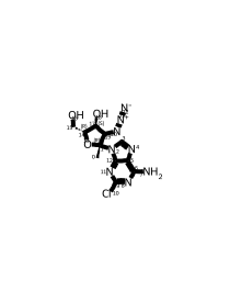 C[C@@]1(n2cnc3c(N)nc(Cl)nc32)O[C@H](CO)[C@@H](O)C1N=[N+]=[N-]